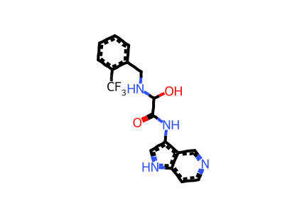 O=C(Nc1c[nH]c2ccncc12)C(O)NCc1ccccc1C(F)(F)F